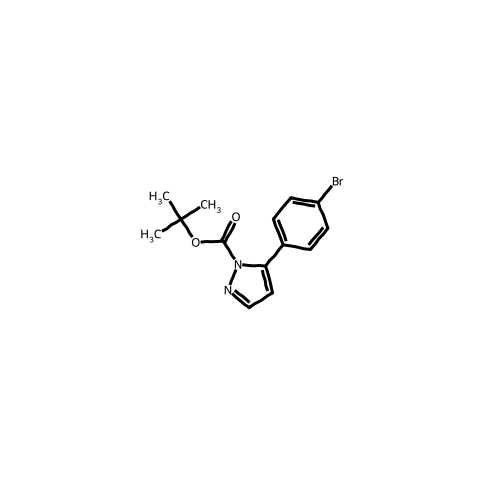 CC(C)(C)OC(=O)n1nccc1-c1ccc(Br)cc1